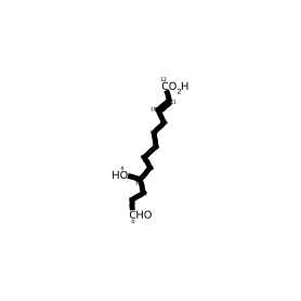 O=CCCC(O)CCCCC/C=C/C(=O)O